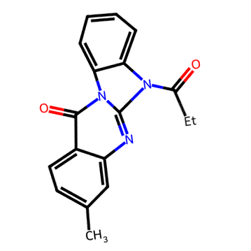 CCC(=O)n1c2ccccc2n2c(=O)c3ccc(C)cc3nc12